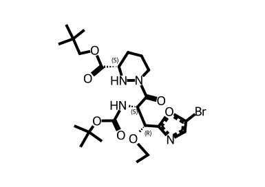 CCO[C@@H](c1ncc(Br)o1)[C@H](NC(=O)OC(C)(C)C)C(=O)N1CCC[C@@H](C(=O)OCC(C)(C)C)N1